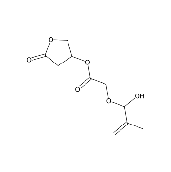 C=C(C)C(O)OCC(=O)OC1COC(=O)C1